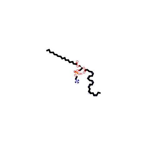 CC/C=C\C/C=C\C/C=C\C/C=C\C/C=C\C/C=C\CCC(=O)O[C@H](COC(=O)CCCCCCCCCCCCCCC)COP(=O)(O)OCC[N+](C)(C)C